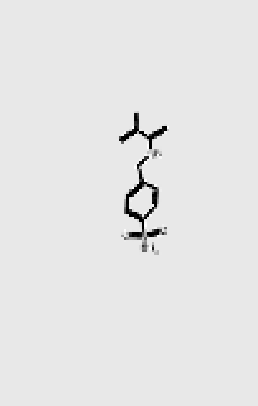 C=C(C)C(=C)NCc1ccc(S(N)(=O)=O)cc1